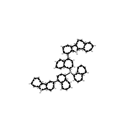 c1ccc2c(N(c3ccc(-c4ccc5sc6ccccc6c5c4)c4ccccc34)c3ccc(-c4cccc5c4oc4c6ccccc6ccc54)c4ccccc34)cccc2c1